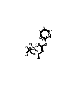 CC/C=C(\O[Si](C)(C)C(C)(C)C)Sc1ccccn1